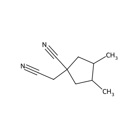 CC1CC(C#N)(CC#N)CC1C